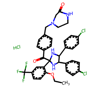 CCOc1ccc(C(F)(F)F)cc1C1(C(=O)c2ccc(CN3CCNC(=O)C3)cc2)NC(c2ccc(Cl)cc2)C(c2ccc(Cl)cc2)N1.Cl